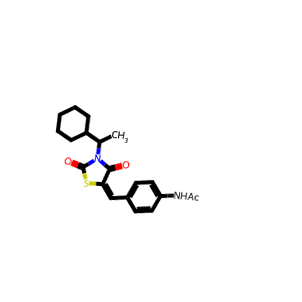 CC(=O)Nc1ccc(C=C2SC(=O)N(C(C)C3CCCCC3)C2=O)cc1